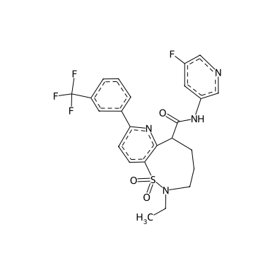 CCN1CCCC(C(=O)Nc2cncc(F)c2)c2nc(-c3cccc(C(F)(F)F)c3)ccc2S1(=O)=O